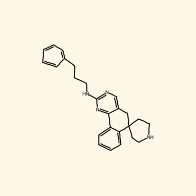 c1ccc(CCCNc2ncc3c(n2)-c2ccccc2C2(CCNCC2)C3)cc1